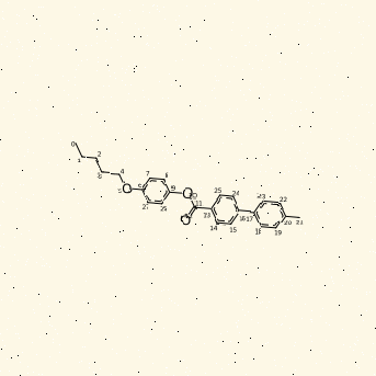 CCCCCOc1ccc(OC(=O)c2ccc(-c3ccc(C)cc3)cc2)cc1